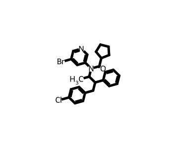 CC(C(Cc1ccc(Cl)cc1)c1ccccc1)N(C(=O)C1CCCC1)c1cncc(Br)c1